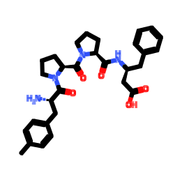 Cc1ccc(C[C@H](N)C(=O)N2CCC[C@H]2C(=O)N2CCC[C@H]2C(=O)N[C@H](CC(=O)O)Cc2ccccc2)cc1